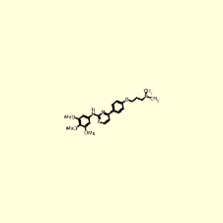 COc1cc(Nc2nccc(-c3ccc(OCCCN(C)C)cc3)n2)cc(OC)c1OC